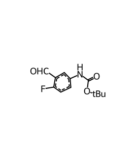 CC(C)(C)OC(=O)Nc1ccc(F)c(C=O)c1